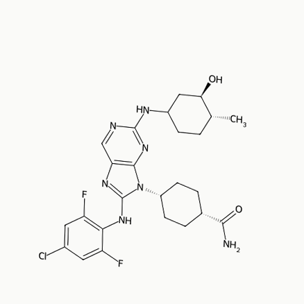 C[C@@H]1CCC(Nc2ncc3nc(Nc4c(F)cc(Cl)cc4F)n([C@H]4CC[C@@H](C(N)=O)CC4)c3n2)C[C@H]1O